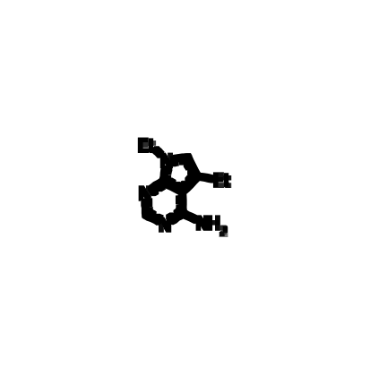 CCc1cn(CC)c2ncnc(N)c12